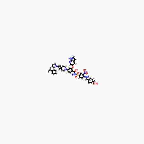 CC(C)c1ccccc1[C@@H]1CCCN1C1CC2(CCN(c3ccc(C(=O)NS(=O)(=O)c4ccc(NCC5CCC(C)(O)CC5)c([N+](=O)[O-])c4)c(Oc4cnc5[nH]ccc5c4)c3)CC2)C1